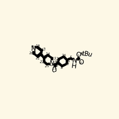 CC(C)(C)OC(=O)NCC1CCC(C(=O)N2CCC(c3ccncc3)CC2)CC1